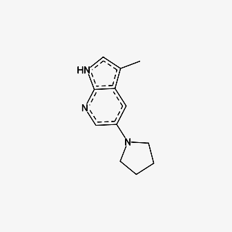 Cc1c[nH]c2ncc(N3CCCC3)cc12